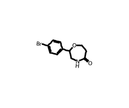 O=C1CCOC(c2ccc(Br)cc2)CN1